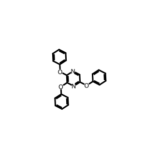 c1ccc(Oc2cnc(Oc3ccccc3)c(Oc3ccccc3)n2)cc1